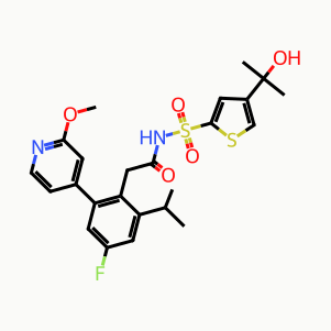 COc1cc(-c2cc(F)cc(C(C)C)c2CC(=O)NS(=O)(=O)c2cc(C(C)(C)O)cs2)ccn1